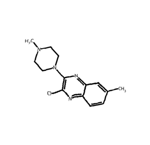 Cc1ccc2nc(Cl)c(N3CCN(C)CC3)nc2c1